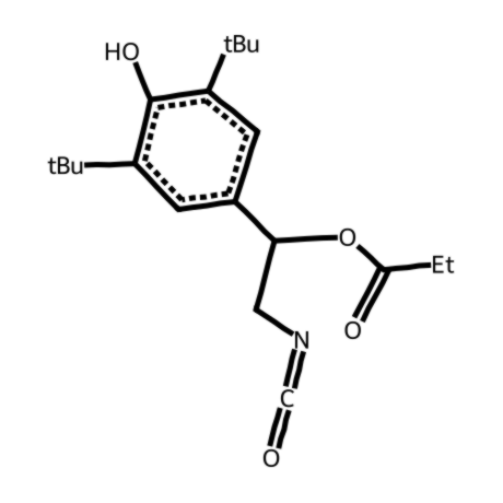 CCC(=O)OC(CN=C=O)c1cc(C(C)(C)C)c(O)c(C(C)(C)C)c1